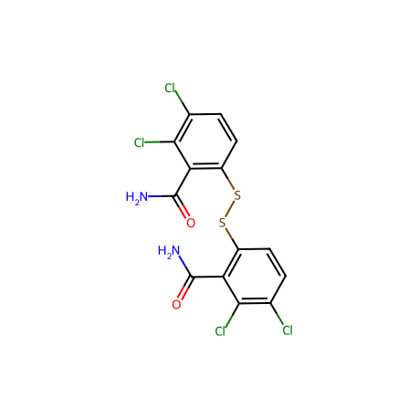 NC(=O)c1c(SSc2ccc(Cl)c(Cl)c2C(N)=O)ccc(Cl)c1Cl